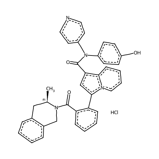 C[C@@H]1Cc2ccccc2CN1C(=O)c1ccccc1-c1cc(C(=O)N(c2ccncc2)c2ccc(O)cc2)c2ccccn12.Cl